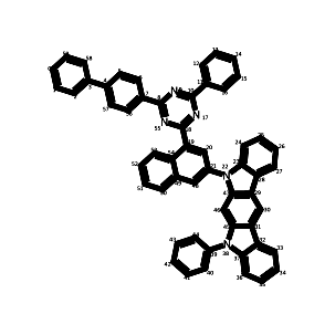 c1ccc(-c2ccc(-c3nc(-c4ccccc4)nc(-c4cc(-n5c6ccccc6c6cc7c8ccccc8n(-c8ccccc8)c7cc65)cc5ccccc45)n3)cc2)cc1